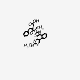 COc1ncc(-c2ccccc2-c2csc(N(C)C(=O)[C@@H](CC(=O)O)Cc3ccccc3)n2)cn1